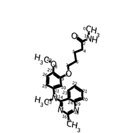 CNC(=O)CCCCOc1cc(N(C)c2nc(C)nc3ccccc23)ccc1OC